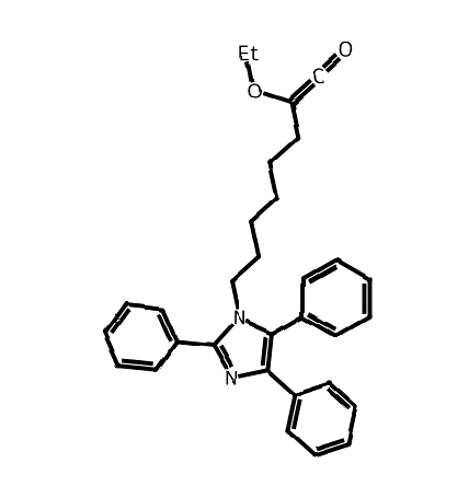 CCOC(=C=O)CCCCCCn1c(-c2ccccc2)nc(-c2ccccc2)c1-c1ccccc1